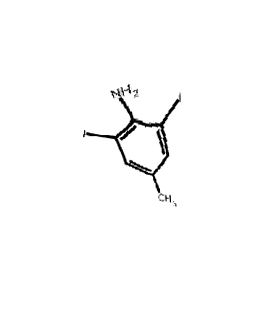 Cc1cc(I)c(N)c(I)c1